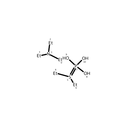 CCN(CC)CC.CCS(CC)=P(O)(O)O